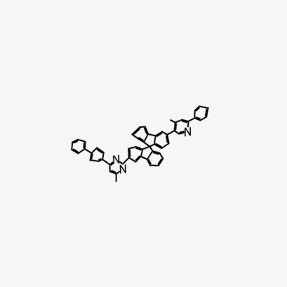 Cc1cc(-c2ccc(-c3ccccc3)cc2)nc(-c2ccc3c(c2)-c2ccccc2C32c3ccccc3-c3cc(-c4cnc(-c5ccccc5)cc4C)ccc32)n1